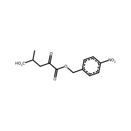 CC(CC(=O)C(=O)OCc1ccc([N+](=O)[O-])cc1)C(=O)O